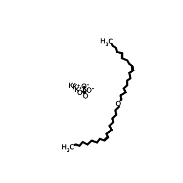 CCCCCCCC/C=C\CCCCCCCCOCCCCCCCC/C=C\CCCCCCCC.O=P([O-])([O-])[O-].[K+].[K+].[K+]